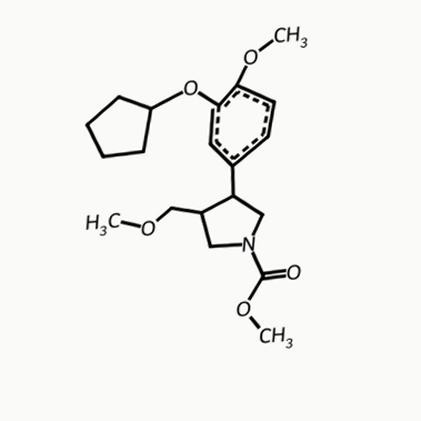 COCC1CN(C(=O)OC)CC1c1ccc(OC)c(OC2CCCC2)c1